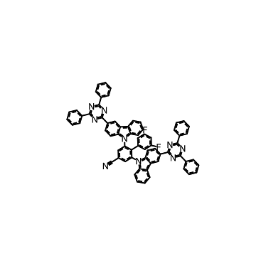 N#Cc1cc(-n2c3ccccc3c3cc(-c4nc(-c5ccccc5)nc(-c5ccccc5)n4)ccc32)c(-c2cc(F)cc(F)c2)c(-n2c3ccccc3c3cc(-c4nc(-c5ccccc5)nc(-c5ccccc5)n4)ccc32)c1